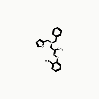 C/C(CN(Cc1ccccc1)Cc1ccco1)=N\Oc1ccccc1[N+](=O)[O-]